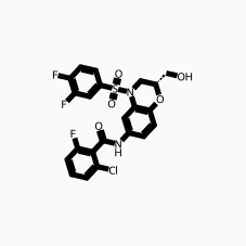 O=C(Nc1ccc2c(c1)N(S(=O)(=O)c1ccc(F)c(F)c1)C[C@H](CO)O2)c1c(F)cccc1Cl